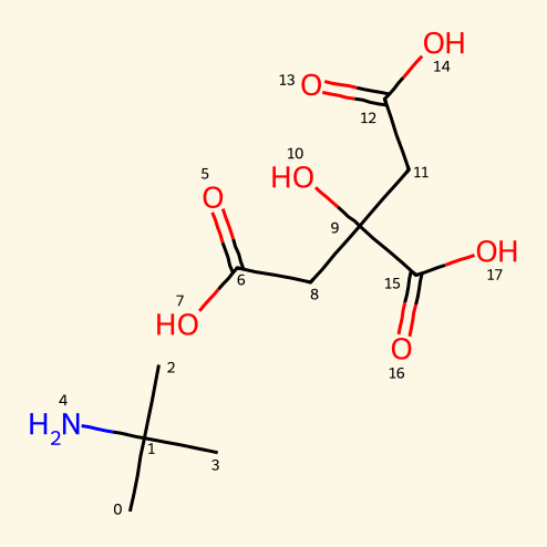 CC(C)(C)N.O=C(O)CC(O)(CC(=O)O)C(=O)O